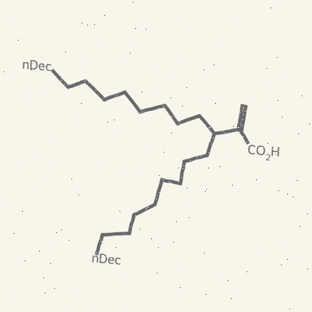 C=C(C(=O)O)C(CCCCCCCCCCCCCCCCCC)CCCCCCCCCCCCCCCCCC